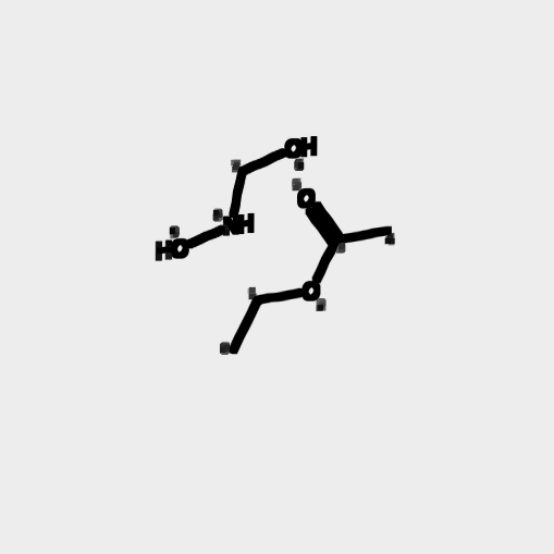 CCOC(C)=O.OCNO